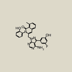 Cc1cccc2cc(Cn3nc(-c4cc(O)cc(F)c4)c4c(N)ncnc43)n(-c3ccccc3O)c(=O)c12